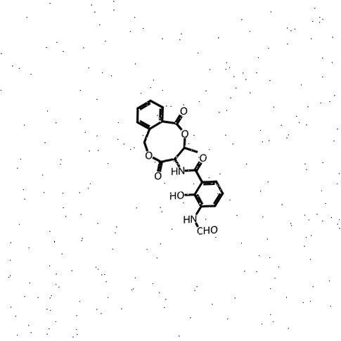 CC1OC(=O)c2ccccc2COC(=O)C1NC(=O)c1cccc(NC=O)c1O